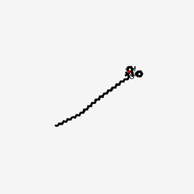 CCC=CCCCCCCCCCC=CCCCCCCCCCCCCCCCCCCCCCC(O[SiH](c1ccccc1)c1ccccc1)C(C)(C)C